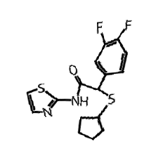 O=C(Nc1nccs1)C(SC1CCCC1)c1ccc(F)c(F)c1